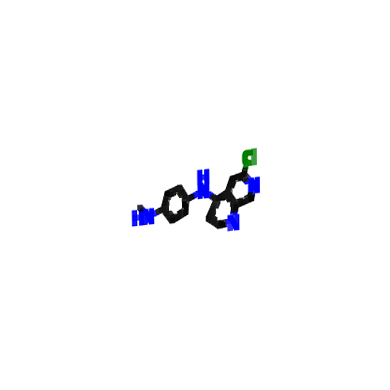 CNc1ccc(Nc2ccnc3cnc(Cl)cc23)cc1